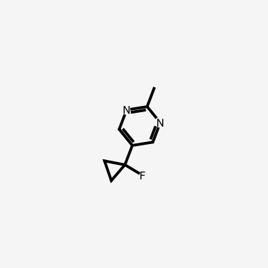 Cc1ncc(C2(F)CC2)cn1